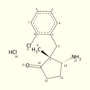 C[C@]1(Cc2ccccc2Cl)C(=O)CC[C@H]1N.Cl